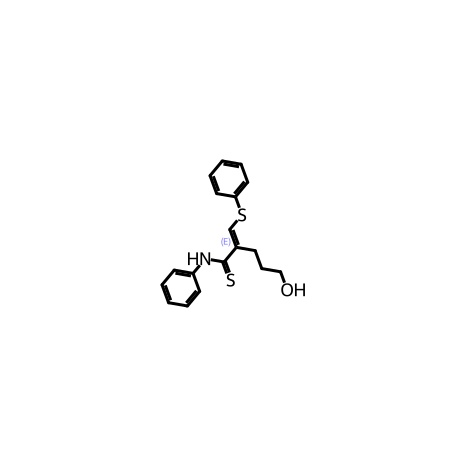 OCCC/C(=C\Sc1ccccc1)C(=S)Nc1ccccc1